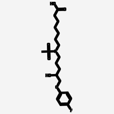 CS(=O)(=O)N(CCCCCCC(=O)O)CCCC(O)COc1ccc(F)cc1